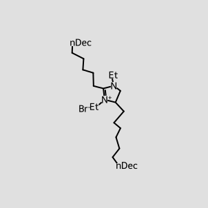 CCCCCCCCCCCCCCCCC1CN(CC)C(CCCCCCCCCCCCCCC)=[N+]1CC.[Br-]